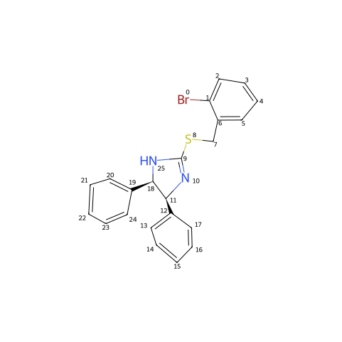 Brc1ccccc1CSC1=N[C@@H](c2ccccc2)[C@@H](c2ccccc2)N1